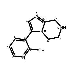 Fc1ncccc1-c1cnc2n1CCNC2